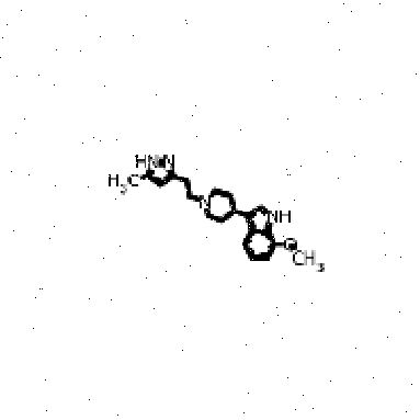 COc1cccc2c(C3CCN(CCc4cc(C)[nH]n4)CC3)c[nH]c12